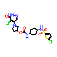 O=C(N[C@H]1CC[C@H](NS(=O)(=O)c2ccc(Cl)s2)CC1)O[C@@H]1CCN(c2cn[nH]c(=O)c2Cl)C1